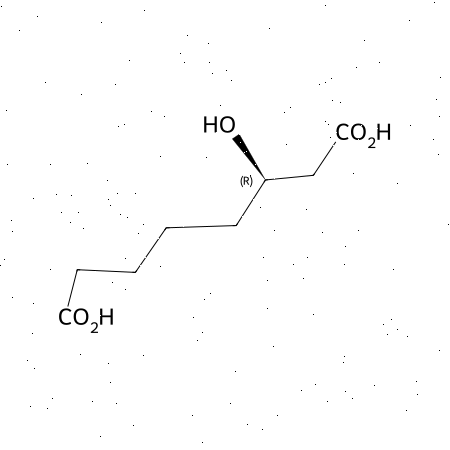 O=C(O)CCCC[C@@H](O)CC(=O)O